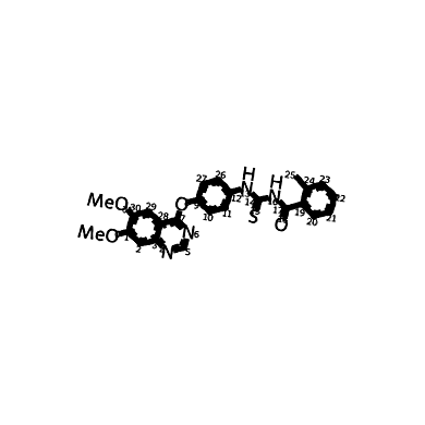 COc1cc2ncnc(Oc3ccc(NC(=S)NC(=O)c4ccccc4C)cc3)c2cc1OC